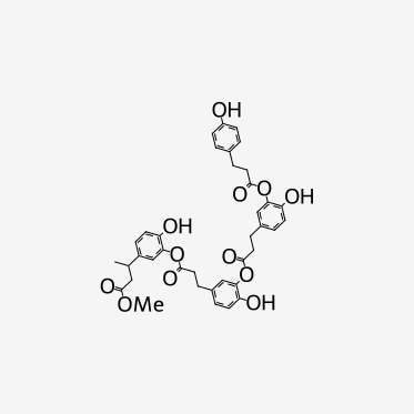 COC(=O)CC(C)c1ccc(O)c(OC(=O)CCc2ccc(O)c(OC(=O)CCc3ccc(O)c(OC(=O)CCc4ccc(O)cc4)c3)c2)c1